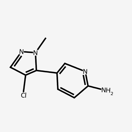 Cn1ncc(Cl)c1-c1ccc(N)nc1